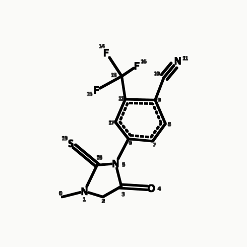 CN1CC(=O)N(c2ccc(C#N)c(C(F)(F)F)c2)C1=S